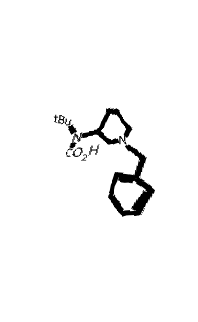 CC(C)(C)N(C(=O)O)C1CCCN(Cc2ccccc2)C1